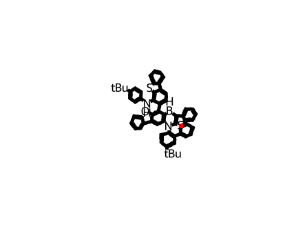 CC(C)(C)c1ccc(Nc2c(-c3c4c(cc5c3oc3ccccc35)N(c3ccc(C(C)(C)C)cc3-c3ccccc3)c3sc5ccccc5c3B4)ccc3c2sc2ccccc23)cc1